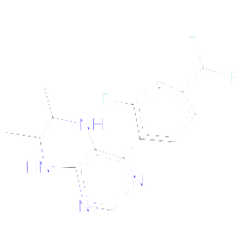 CC1Nc2ncnc(-c3ccc(C(F)F)cc3F)c2NC1C